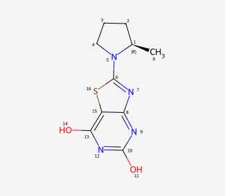 C[C@@H]1CCCN1c1nc2nc(O)nc(O)c2s1